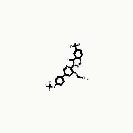 CCSc1cc(-c2ccc(OC(F)(F)F)cc2)cnc1-n1nnc2ccc(C(F)(F)F)cc2c1=O